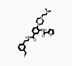 CN(C)CCN1CCN(c2ccc(C(=O)NCCc3cccc(CI)c3)cc2NC(=O)c2cccs2)CC1